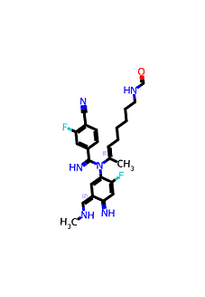 CN/C=C1/C=C(N(C(=N)c2ccc(C#N)c(F)c2)/C(C)=C/CCCCCNC=O)C(F)=CC1=N